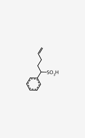 C=CCCC(c1ccccc1)S(=O)(=O)O